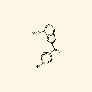 COc1cccc2cc(C(=O)c3ccc(S)cc3)oc12